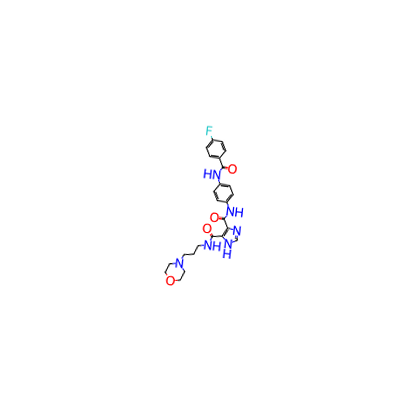 O=C(Nc1ccc(NC(=O)c2nc[nH]c2C(=O)NCCCN2CCOCC2)cc1)c1ccc(F)cc1